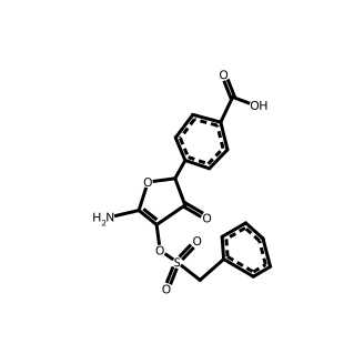 NC1=C(OS(=O)(=O)Cc2ccccc2)C(=O)C(c2ccc(C(=O)O)cc2)O1